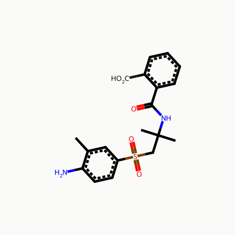 Cc1cc(S(=O)(=O)CC(C)(C)NC(=O)c2ccccc2C(=O)O)ccc1N